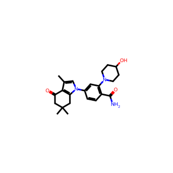 Cc1cn(-c2ccc(C(N)=O)c(N3CCC(O)CC3)c2)c2c1C(=O)CC(C)(C)C2